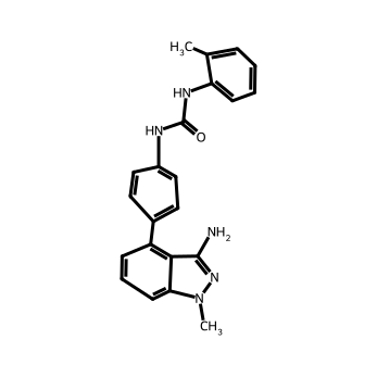 Cc1ccccc1NC(=O)Nc1ccc(-c2cccc3c2c(N)nn3C)cc1